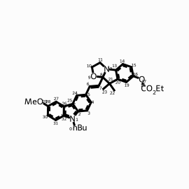 CCCCn1c2ccc(C=CC34OCCN3c3ccc(OC(=O)OCC)cc3C4(C)C)cc2c2cc(OC)ccc21